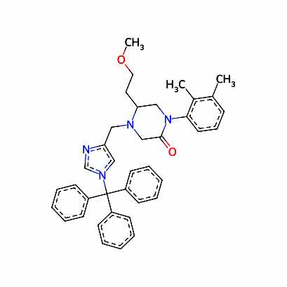 COCCC1CN(c2cccc(C)c2C)C(=O)CN1Cc1cn(C(c2ccccc2)(c2ccccc2)c2ccccc2)cn1